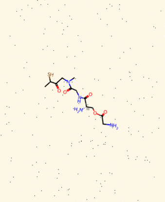 CC(S)C(=O)CN(C)C(=O)CNC(=O)[C@@H](N)COC(=O)CN